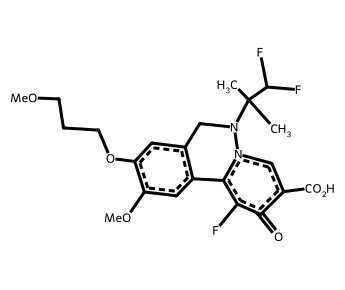 COCCCOc1cc2c(cc1OC)-c1c(F)c(=O)c(C(=O)O)cn1N(C(C)(C)C(F)F)C2